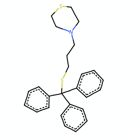 c1ccc(C(SCCCN2CCSCC2)(c2ccccc2)c2ccccc2)cc1